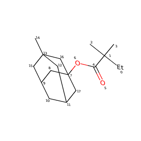 CCC(C)(C)C(=O)OC12CC3CC(CC(C)(C3)C1)C2